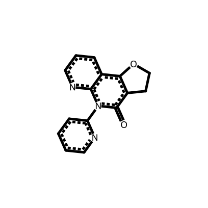 O=c1c2c(c3cccnc3n1-c1ccccn1)OCC2